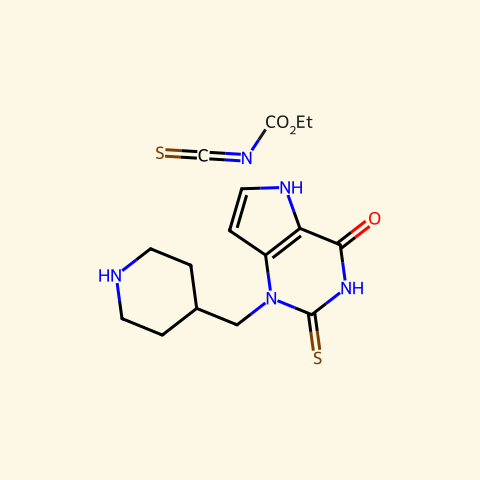 CCOC(=O)N=C=S.O=c1[nH]c(=S)n(CC2CCNCC2)c2cc[nH]c12